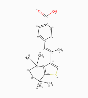 CC(=Cc1ccc(C(=O)O)cc1)c1csc2c1C(C)(C)CCC2(C)C